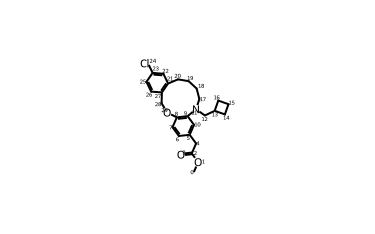 COC(=O)Cc1ccc2c(c1)N(CC1CCC1)CCCCc1cc(Cl)ccc1CO2